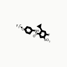 O=[N+]([O-])c1cc([S+]([O-])Nc2ccc(OC(F)(F)F)cc2)c(C2CC2)cc1F